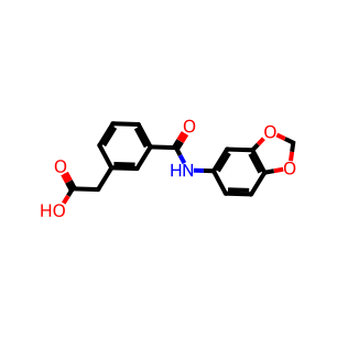 O=C(O)Cc1cccc(C(=O)Nc2ccc3c(c2)OCO3)c1